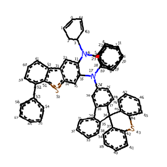 C1=CCC(N(c2ccccc2)c2cc3c(cc2N(c2ccccc2)c2ccc4c(c2)-c2ccccc2C42c4ccccc4Sc4ccccc42)sc2c(-c4ccccc4)cccc23)C=C1